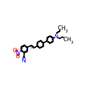 CCCN(CCC)c1ccc(-c2ccc(/C=C/c3ccc([N+](=O)[O-])c(C#N)c3)cc2)cc1